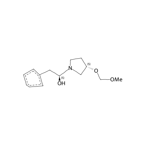 COCO[C@H]1CCN([C@@H](O)Cc2ccccc2)C1